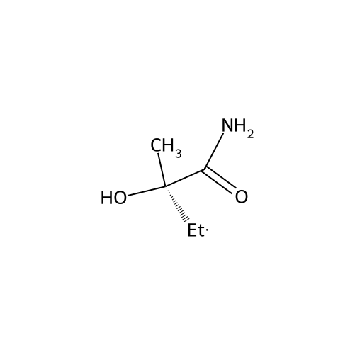 C[CH][C@@](C)(O)C(N)=O